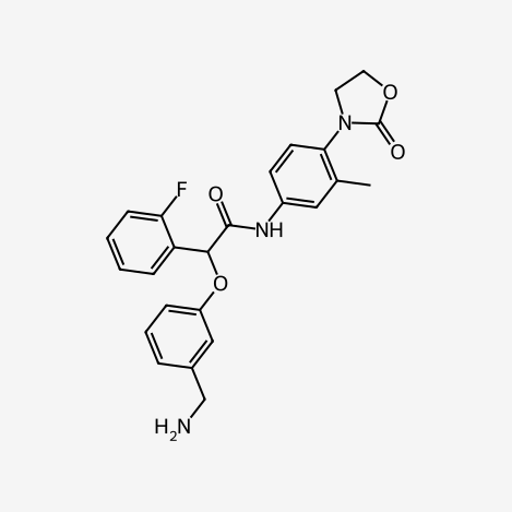 Cc1cc(NC(=O)C(Oc2cccc(CN)c2)c2ccccc2F)ccc1N1CCOC1=O